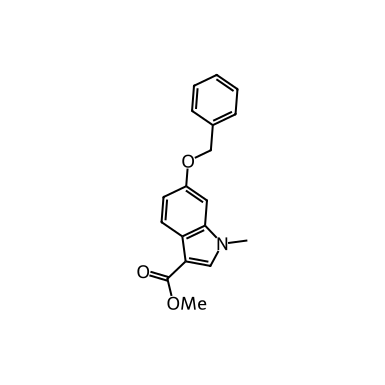 COC(=O)c1cn(C)c2cc(OCc3ccccc3)ccc12